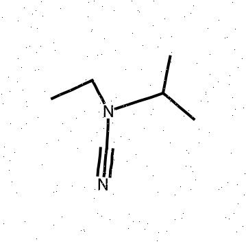 CCN(C#N)C(C)C